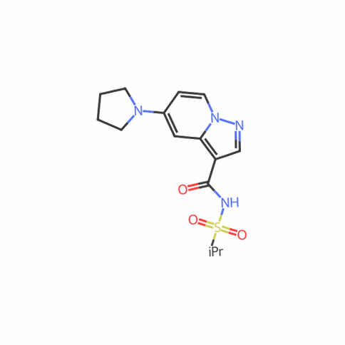 CC(C)S(=O)(=O)NC(=O)c1cnn2ccc(N3CCCC3)cc12